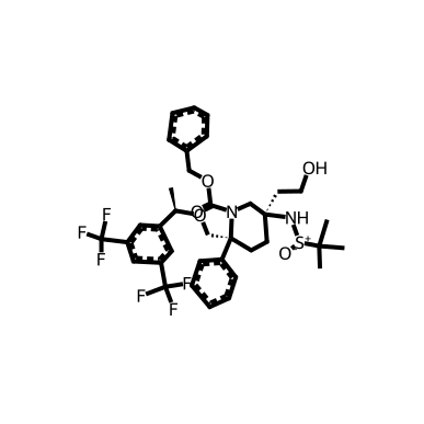 C[C@@H](OC[C@@]1(c2ccccc2)CC[C@](CCO)(N[S+]([O-])C(C)(C)C)CN1C(=O)OCc1ccccc1)c1cc(C(F)(F)F)cc(C(F)(F)F)c1